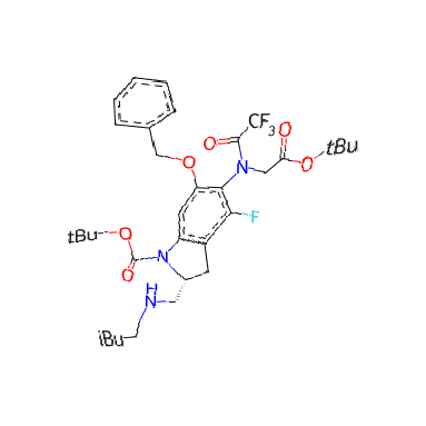 CCC(C)CNC[C@H]1Cc2c(cc(OCc3ccccc3)c(N(CC(=O)OC(C)(C)C)C(=O)C(F)(F)F)c2F)N1C(=O)OC(C)(C)C